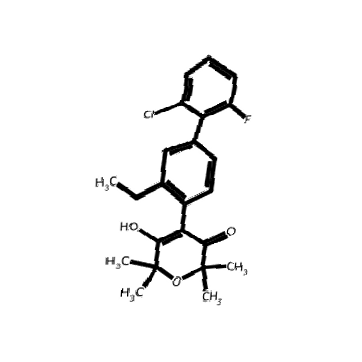 CCc1cc(-c2c(F)cccc2Cl)ccc1C1=C(O)C(C)(C)OC(C)(C)C1=O